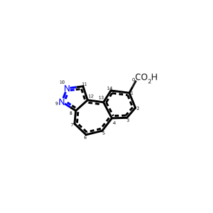 O=C(O)c1ccc2cccc3nncc-3c2c1